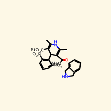 CCOC(=O)C1=C(C)NC(C)=C(C(=O)OC)C1c1c([N+](=O)[O-])cccc1[N+](=O)[O-].c1ccc2c(c1)CNC2